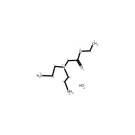 CCOC(=O)CN(CCN)CCN.Cl